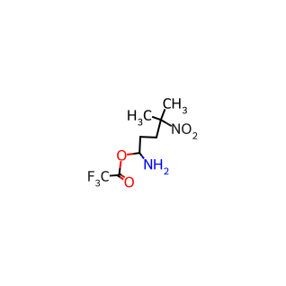 CC(C)(CCC(N)OC(=O)C(F)(F)F)[N+](=O)[O-]